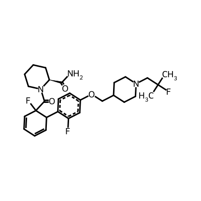 CC(C)(F)CN1CCC(COc2ccc(C3C=CC=CC3(F)C(=O)N3CCCC[C@H]3C(N)=O)c(F)c2)CC1